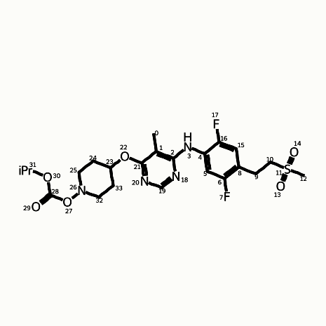 Cc1c(Nc2cc(F)c(CCS(C)(=O)=O)cc2F)ncnc1OC1CCN(OC(=O)OC(C)C)CC1